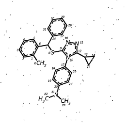 Cc1ccccc1C(Sc1nnc(C2CC2)n1-c1ccc(N(C)C)cc1)c1ccccc1